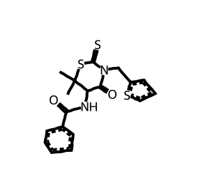 CC1(C)SC(=S)N(Cc2cccs2)C(=O)C1NC(=O)c1ccccc1